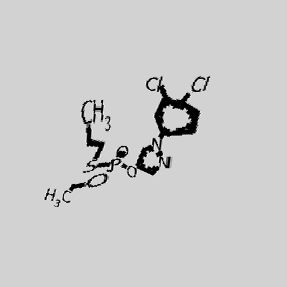 CCCSP(=O)(OCC)Oc1cnn(-c2ccc(Cl)c(Cl)c2)c1